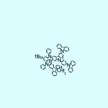 CC(C)(C)c1cc2c3c(c1)N(c1ccccc1)c1cc4c5cc(-n6c7ccccc7c7ccccc76)cc6c7cc(-n8c9ccccc9c9ccccc98)ccc7n(c4cc1B3c1cc3c(cc1N2c1ccccc1)-c1ccccc1C3(C)C)c65